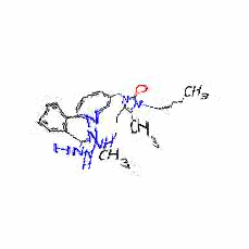 CCCCc1c(C)n(CCCC)c(=O)n1Cc1ccc(-c2ccccc2C2=NNNN2)nc1